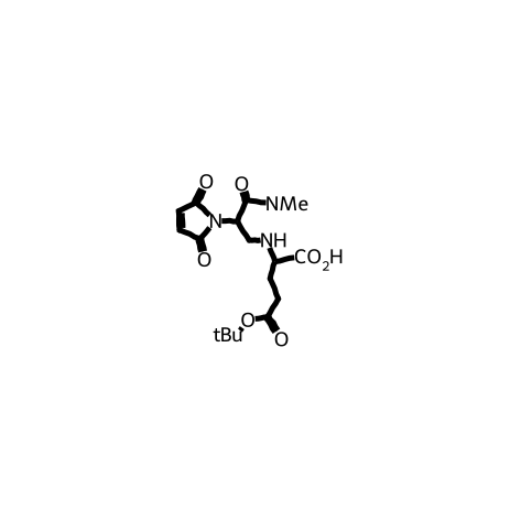 CNC(=O)C(CNC(CCC(=O)OC(C)(C)C)C(=O)O)N1C(=O)C=CC1=O